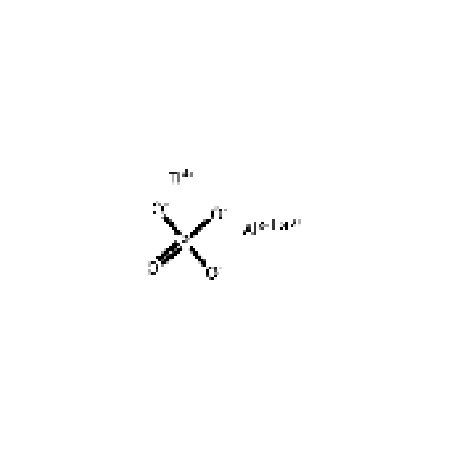 O=P([O-])([O-])[O-].[Al+3].[La+3].[Ti+4]